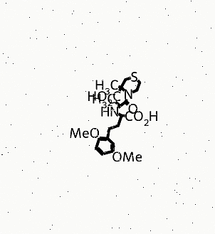 COc1ccc(OC)c(CCC(NC(C)C(=O)N2CCSCC2(C)C(=O)O)C(=O)O)c1